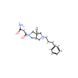 NC(=O)CC(=O)N1CC2CN(CC[CH]c3ccccc3)C[C@H]2C1